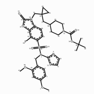 COc1ccc(CN(c2nccs2)S(=O)(=O)c2ccc3c(oc(=O)n3CC3(CC4CCN(C(=O)OC(C)(C)C)CC4)CC3)c2F)c(OC)c1